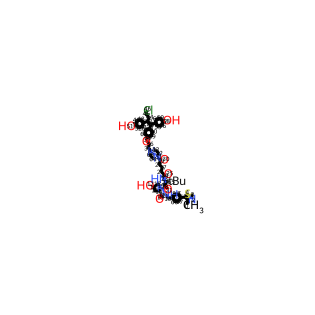 Cc1ncsc1-c1ccc(CNC(=O)[C@@H]2C[C@@H](O)CN2C(=O)C(NC(=O)CCCC(=O)N2CCN(CCOc3ccc(C(=C(CCCl)c4ccc(O)cc4)c4ccc(O)cc4)cc3)CC2)C(C)(C)C)cc1